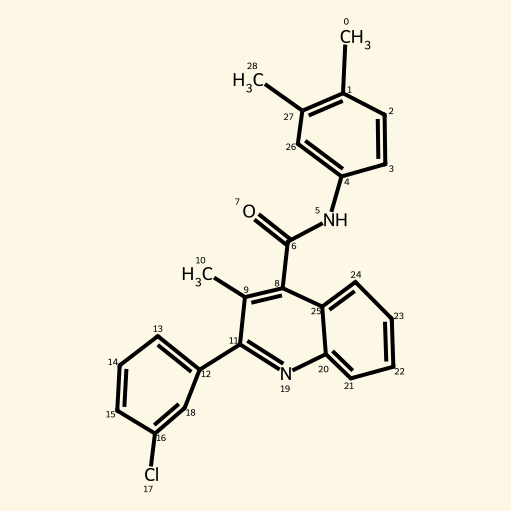 Cc1ccc(NC(=O)c2c(C)c(-c3cccc(Cl)c3)nc3ccccc23)cc1C